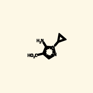 Nc1c(C(=O)O)cnn1C1CC1